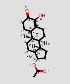 CC(=O)O[C@H]1CC[C@H]2[C@@H]3CCC4=C(O)C(=O)CC[C@]4(C)[C@H]3CC[C@]12C